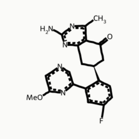 COc1cncc(-c2cc(F)ccc2[C@@H]2CC(=O)c3c(C)nc(N)nc3C2)n1